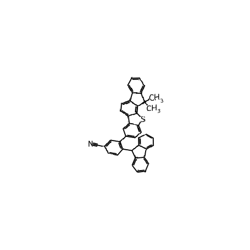 CC1(C)c2ccccc2-c2ccc3c(sc4ccc(-c5cc(C#N)ccc5C5c6ccccc6-c6ccccc65)cc43)c21